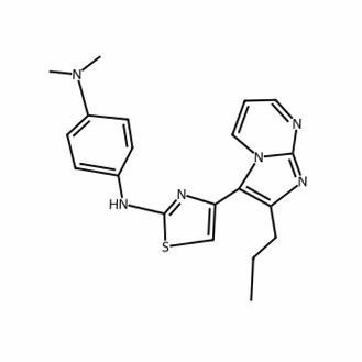 CCCc1nc2ncccn2c1-c1csc(Nc2ccc(N(C)C)cc2)n1